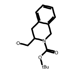 CC(C)(C)OC(=O)N1Cc2ccccc2CC1C[O]